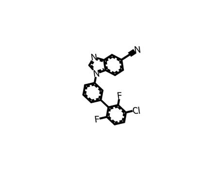 N#Cc1ccc2c(c1)ncn2-c1cccc(-c2c(F)ccc(Cl)c2F)c1